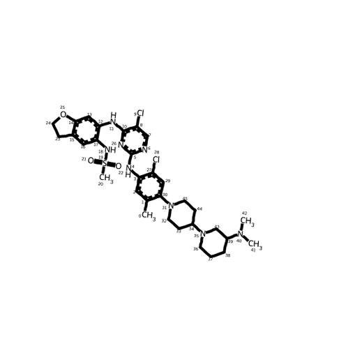 Cc1cc(Nc2ncc(Cl)c(Nc3cc4c(cc3NS(C)(=O)=O)CCO4)n2)c(Cl)cc1N1CCC(N2CCCC(N(C)C)C2)CC1